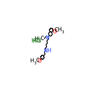 CCCN(CCCCCCNCCc1ccc(OC)cc1)C1CCc2c(cccc2OC)C1.Cl.Cl